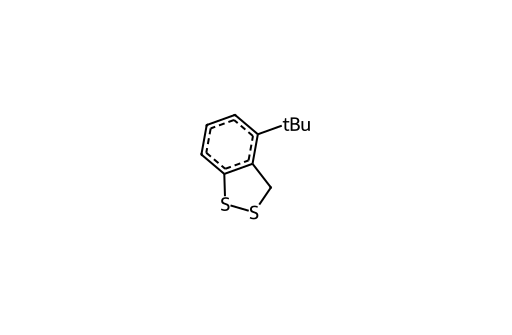 CC(C)(C)c1cccc2c1CSS2